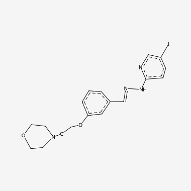 Ic1ccc(N/N=C/c2cccc(OCCN3CCOCC3)c2)nc1